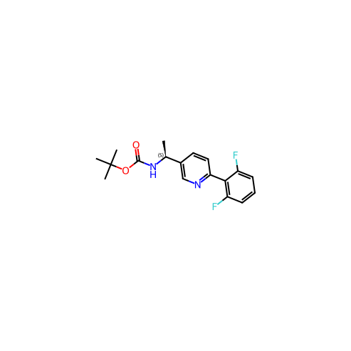 C[C@H](NC(=O)OC(C)(C)C)c1ccc(-c2c(F)cccc2F)nc1